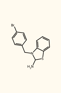 NC1Sc2ccccc2N1Cc1ccc(Br)cc1